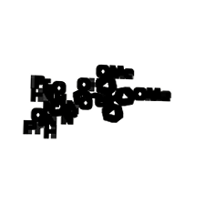 COc1ccc(C(OC[C@H]2O[C@@H](n3cnc4c(NC(=O)C(C)C)nc(NC(=O)C(C)C)nc43)C[C@H]2O)(c2ccccc2)c2ccc(OC)cc2)cc1